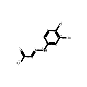 CC(=O)C=NNc1ccc(Cl)c(Cl)c1